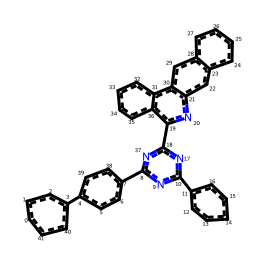 c1ccc(-c2ccc(-c3nc(-c4ccccc4)nc(-c4nc5cc6ccccc6cc5c5ccccc45)n3)cc2)cc1